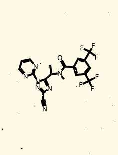 CC(c1nc(C#N)nn1-c1ncccn1)N(C)C(=O)c1cc(C(F)(F)F)cc(C(F)(F)F)c1